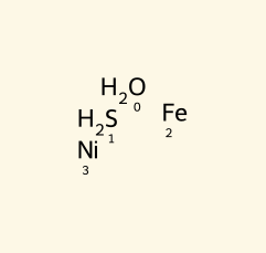 O.S.[Fe].[Ni]